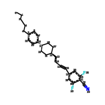 CCCCCc1ccc([C@H]2CC[C@H](C=CC#Cc3cc(F)c(C#N)c(F)c3)CC2)cc1